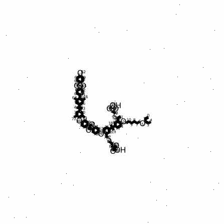 C=C/C(=C\C)OCCCCCCOc1ccc(C(C)(C)c2ccc(Oc3ccc(S(=O)(=O)c4ccc(Oc5c(C)cc(C(C)(C)c6cc(C)c(-c7ccc(S(=O)(=O)c8ccc(OC)cc8)cc7)c(C)c6)cc5C)cc4)cc3)c(CSCCCS(=O)(=O)O)c2)cc1C(=C)SCCS(=O)(=O)O